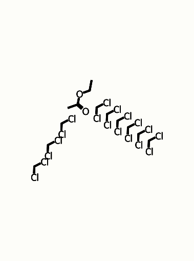 CCOC(C)=O.ClCCl.ClCCl.ClCCl.ClCCl.ClCCl.ClCCl.ClCCl.ClCCl.ClCCl